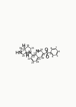 O=S(=O)(c1ccccc1)c1cnc2c(N3CC[C@H]4CNC[C@H]43)cccc2c1